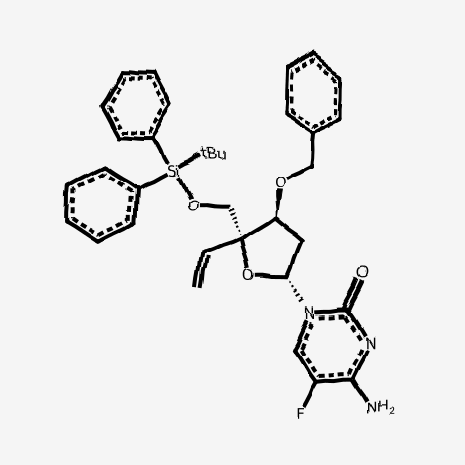 C=C[C@]1(CO[Si](c2ccccc2)(c2ccccc2)C(C)(C)C)O[C@@H](n2cc(F)c(N)nc2=O)C[C@@H]1OCc1ccccc1